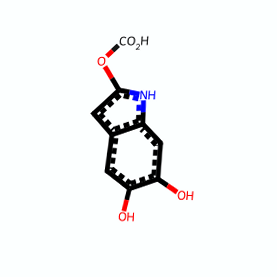 O=C(O)Oc1cc2cc(O)c(O)cc2[nH]1